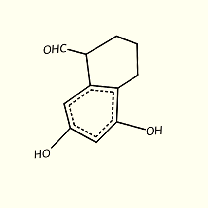 O=CC1CCCc2c(O)cc(O)cc21